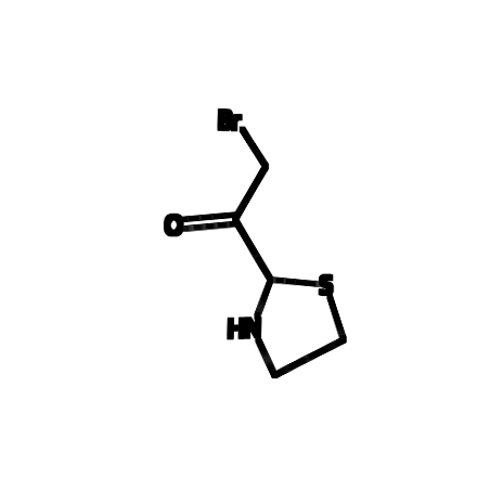 O=C(CBr)C1NCCS1